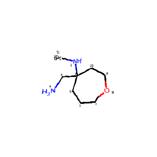 CC(C)NC1(CN)CCCOCC1